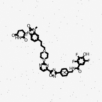 Cn1c(=O)n([C@@H]2CCC(=O)NC2=O)c2ccc(CCCN3CCN(c4nccc(-c5nc(C67CCC(CNC(=O)c8cc(F)c(O)c(F)c8F)(CC6)CC7)no5)n4)CC3)cc21